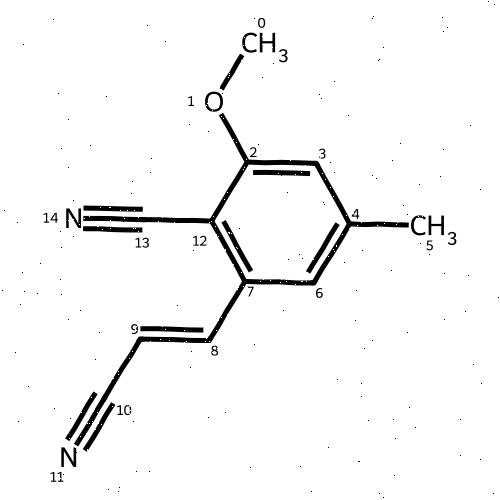 COc1cc(C)cc(C=CC#N)c1C#N